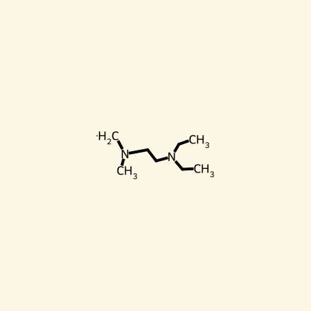 [CH2]N(C)CCN(CC)CC